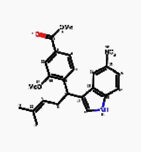 COC(=O)c1ccc(C(CC=C(C)C)c2c[nH]c3ccc([N+](=O)[O-])cc23)c(OC)c1